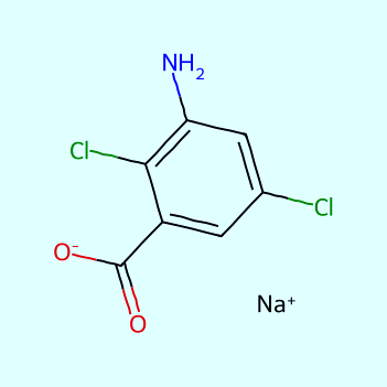 Nc1cc(Cl)cc(C(=O)[O-])c1Cl.[Na+]